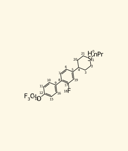 CCC[SiH]1CCC(c2ccc(-c3ccc(OC(F)(F)F)cc3)c(F)c2)CC1